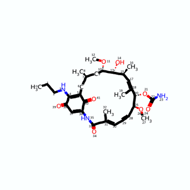 CCCNC1=C2C[C@@H](C)C[C@H](OC)[C@H](O)[C@@H](C)/C=C(\C)[C@H](OC(N)=O)[C@@H](OC)/C=C\C=C(/C)C(=O)NC(=CC1=O)C2=O